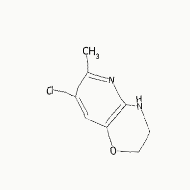 Cc1nc2c(cc1Cl)OCCN2